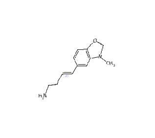 CN1COc2ccc(/C=C/CCN)cc21